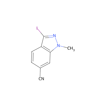 Cn1nc(I)c2ccc(C#N)cc21